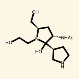 CC(=O)N[C@H]1C[C@H](CO)N(CCO)C1(O)[C@H]1CCNC1